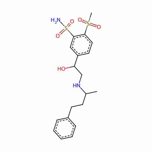 CC(CCc1ccccc1)NCC(O)c1ccc(S(C)(=O)=O)c(S(N)(=O)=O)c1